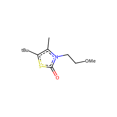 COCCn1c(C)c(C(C)(C)C)sc1=O